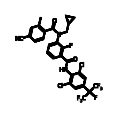 Cc1cc(C#N)ccc1C(=O)N(CC1CC1)c1cccc(C(=O)Nc2c(Cl)cc(C(F)(C(F)(F)F)C(F)(F)F)cc2Cl)c1F